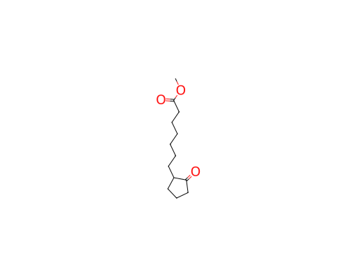 COC(=O)CCCCCCC1CCCC1=O